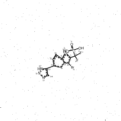 O=P(O)(O)C(F)(F)c1sc2ccc(-c3cnn[nH]3)cc2c1Br